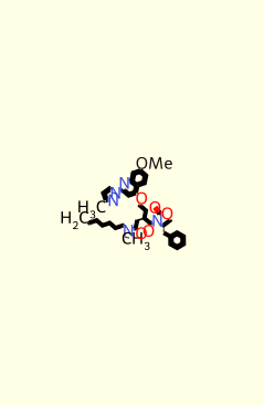 C=CCCCCCN(C)C(=O)C[C@@H](CCOc1cc(-n2ccc(C)n2)nc2cc(OC)ccc12)C(=O)N1C(=O)OC[C@@H]1Cc1ccccc1